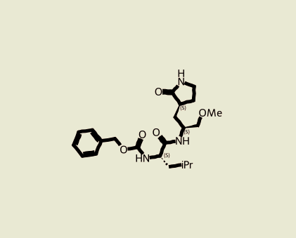 COC[C@H](C[C@@H]1CCNC1=O)NC(=O)[C@H](CC(C)C)NC(=O)OCc1ccccc1